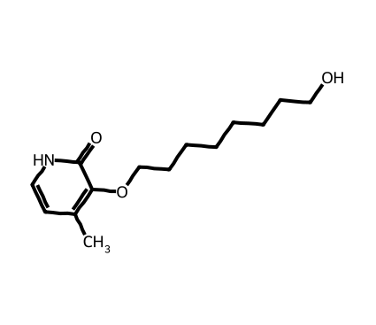 Cc1cc[nH]c(=O)c1OCCCCCCCCO